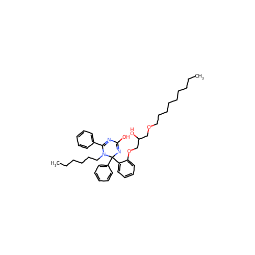 CCCCCCCCCOCC(O)COc1ccccc1C1(c2ccccc2)N=C(O)N=C(c2ccccc2)N1CCCCCC